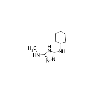 CNc1nnc(NC2CCCCC2)[nH]1